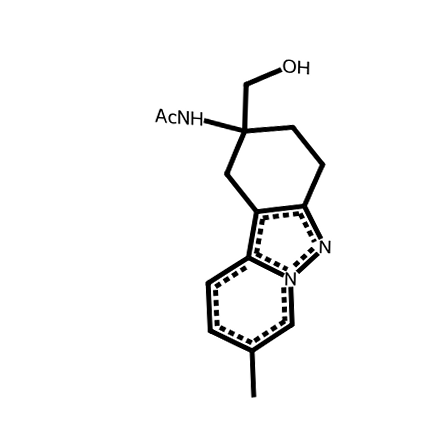 CC(=O)NC1(CO)CCc2nn3cc(C)ccc3c2C1